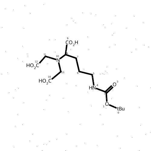 CC(C)(C)OC(=O)NCCCC(C(=O)O)N(CC(=O)O)CC(=O)O